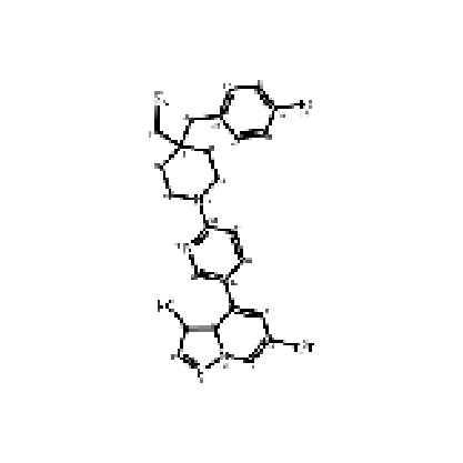 CCCC1=CN2N=CC(C#N)C2C(c2ccc(N3CCC(CC#N)(Cc4ccc(CC)cc4)CC3)nc2)=C1